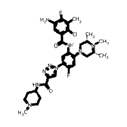 Cc1c(F)c(N)cc(C(=O)Nc2cc(-n3cc(C(=O)NC4CCN(C)CC4)nn3)c(F)cc2N2C[C@@H](C)N(C)[C@@H](C)C2)c1Cl